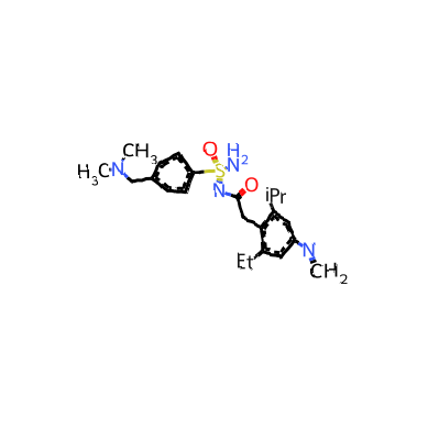 C=Nc1cc(CC)c(CC(=O)N=S(N)(=O)c2ccc(CN(C)C)cc2)c(C(C)C)c1